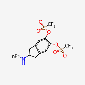 CCCNC1Cc2cc(OS(=O)(=O)C(F)(F)F)c(OS(=O)(=O)C(F)(F)F)cc2C1